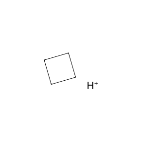 C1CCC1.[H+]